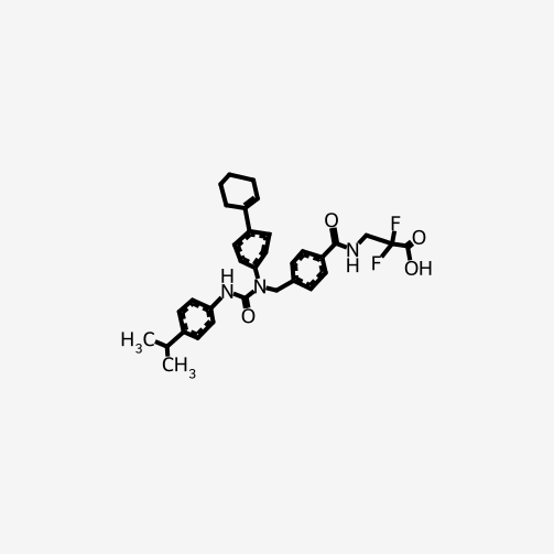 CC(C)c1ccc(NC(=O)N(Cc2ccc(C(=O)NCC(F)(F)C(=O)O)cc2)c2ccc(C3=CCCCC3)cc2)cc1